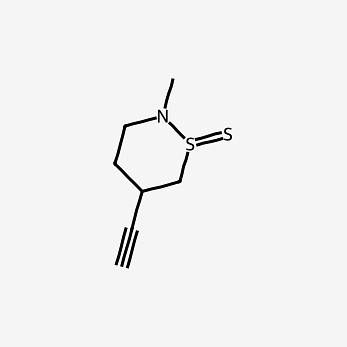 C#CC1CCN(C)S(=S)C1